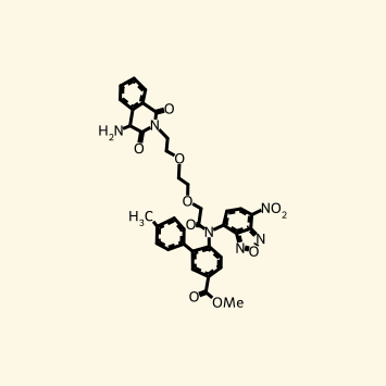 COC(=O)c1ccc(N(C(=O)COCCOCCN2C(=O)c3ccccc3C(N)C2=O)c2ccc([N+](=O)[O-])c3nonc23)c(-c2ccc(C)cc2)c1